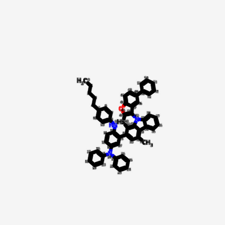 CCCCCc1ccc(Nc2ccc(N(c3ccccc3)c3ccccc3)cc2-c2cc(C)c3c4ccccc4n4c3c2Bc2oc3ccc(-c5ccccc5)cc3c2-4)cc1